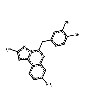 Nc1ccc2c(c1)nc(Cc1ccc(O)c(O)c1)n1nc(N)nc21